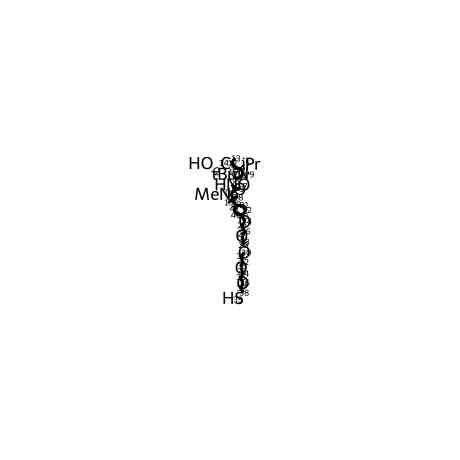 CN[C@H](C(=O)N[C@H](C(=O)N(C)[C@H](/C=C(\C)C(=O)O)C(C)C)C(C)(C)C)C(C)(C)c1ccc(OCCOCCOCCOCCOCCS)cc1